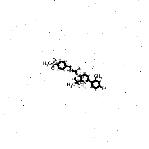 Cc1cc(F)ccc1-c1ccc2c(n1)C(C)(C)CN2C(=O)NCc1ccc(S(C)(=O)=O)cc1